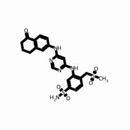 CS(=O)(=O)Cc1ccc(S(N)(=O)=O)cc1Nc1cc(Nc2ccc3c(c2)CCCC3=O)ncn1